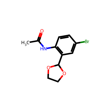 CC(=O)Nc1ccc(Br)cc1C1OCCO1